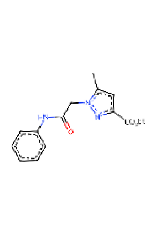 CCOC(=O)c1cc(C)n(CC(=O)Nc2ccccc2)n1